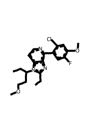 CCc1nc2c(-c3cc(F)c(OC)cc3Cl)nccc2n1C(CC)CCOC